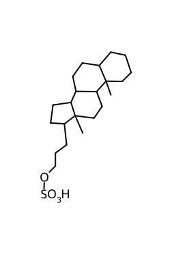 CC12CCCCC1CCC1C2CCC2(C)C(CCCOS(=O)(=O)O)CCC12